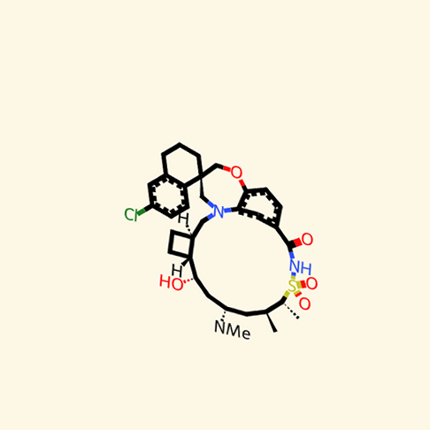 CN[C@H]1C[C@H](C)[C@@H](C)S(=O)(=O)NC(=O)c2ccc3c(c2)N(C[C@@H]2CC[C@H]2[C@@H](O)C1)C[C@@]1(CCCc2cc(Cl)ccc21)CO3